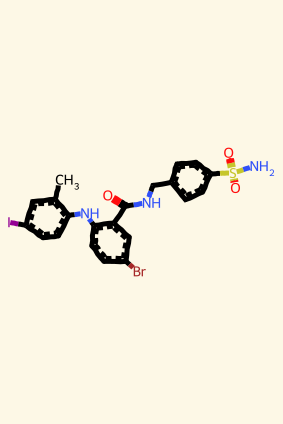 Cc1cc(I)ccc1Nc1ccc(Br)cc1C(=O)NCc1ccc(S(N)(=O)=O)cc1